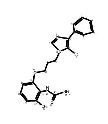 CCc1c(-c2ccccc2)ncn1CCCOc1cccc(C)c1NC(N)=O